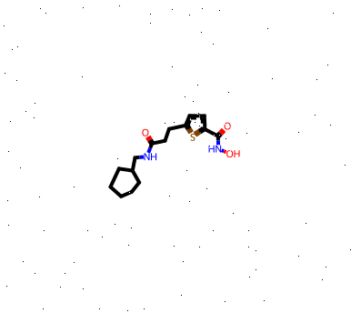 O=C(CCc1ccc(C(=O)NO)s1)NCC1CCCCC1